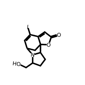 O=C1C=C2C(I)=CC3CC2(O1)C1CCC(CO)N31